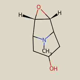 CN1C2CC(O)CC1[C@@H]1O[C@H]21